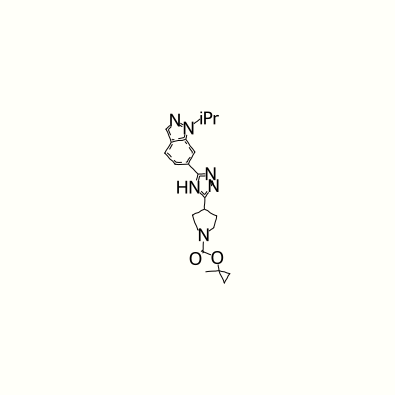 CC(C)n1ncc2ccc(-c3nnc(C4CCN(C(=O)OC5(C)CC5)CC4)[nH]3)cc21